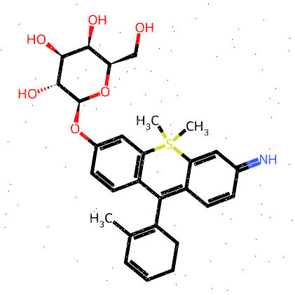 CC1=C(C2=C3C=CC(=N)C=C3S(C)(C)c3cc(O[C@@H]4O[C@H](CO)[C@H](O)[C@H](O)[C@H]4O)ccc32)CCC=C1